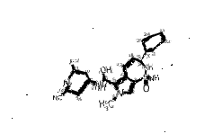 Cn1cc2c(c1C(O)Nc1cc(F)nc(C#N)c1)C=C[C@@H](c1ccccc1)NS2(=N)=O